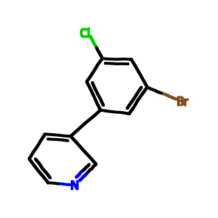 Clc1cc(Br)cc(-c2cccnc2)c1